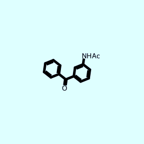 CC(=O)Nc1cccc(C(=O)c2ccccc2)c1